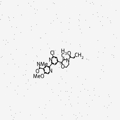 C=CC(=O)N1CCO[C@@H](c2cc(Cl)nc(-c3cc(C(=O)NC)c(OC)cn3)c2)[C@@H]1C